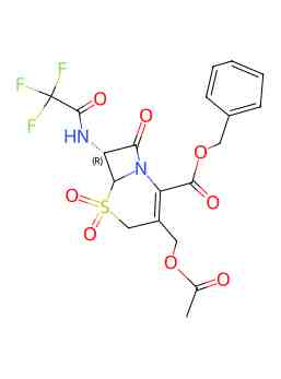 CC(=O)OCC1=C(C(=O)OCc2ccccc2)N2C(=O)[C@@H](NC(=O)C(F)(F)F)C2S(=O)(=O)C1